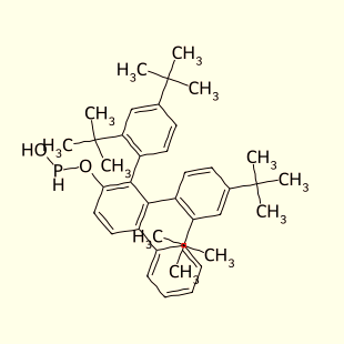 CC(C)(C)c1ccc(-c2c(OPO)ccc(-c3ccccc3)c2-c2ccc(C(C)(C)C)cc2C(C)(C)C)c(C(C)(C)C)c1